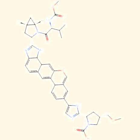 COC[C@H]1C[C@@H](c2ncc(C3=CC4=COC5=CC6C(=CC=C7N=C([C@@H]8C[C@@H]9C[C@@H]9N8C(=O)[C@@H](NC(=O)OC)C(C)C)NC76)C=C5C4C=C3)[nH]2)N(C(=O)O)C1